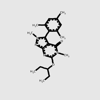 CCC(CC)Oc1nc2nn(C)c(-c3c(C)cc(C)cc3C)c2c(=O)n1C